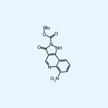 CC(C)(C)OC(=O)n1[nH]c2c(cnc3c([N+](=O)[O-])cccc32)c1=O